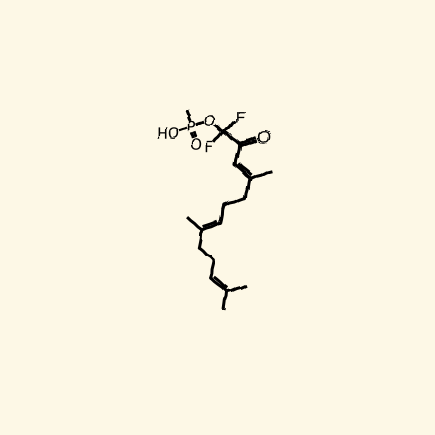 CC(C)=CCCC(C)=CCCC(C)=CC(=O)C(F)(F)OP(C)(=O)O